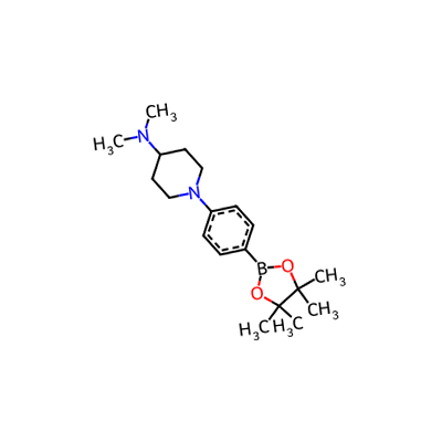 CN(C)C1CCN(c2ccc(B3OC(C)(C)C(C)(C)O3)cc2)CC1